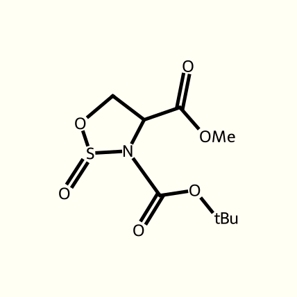 COC(=O)C1COS(=O)N1C(=O)OC(C)(C)C